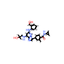 Cc1cc(-c2cnc3c(NCC(C)(C)O)cc(Nc4ccccc4CO)nn23)ccc1C(=O)NC1CC1